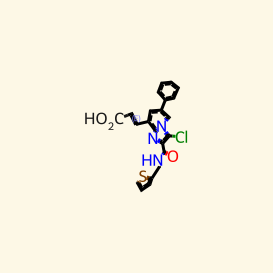 O=C(O)/C=C/c1cc(-c2ccccc2)cn2c(Cl)c(C(=O)NCc3cccs3)nc12